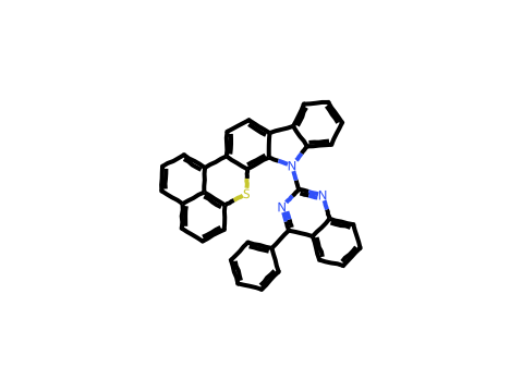 c1ccc(-c2nc(-n3c4ccccc4c4ccc5c(c43)Sc3cccc4cccc-5c34)nc3ccccc23)cc1